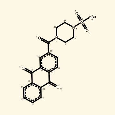 CCCCS(=O)(=O)N1CCN(C(=O)c2ccc3c(c2)C(=O)c2ccccc2C3=O)CC1